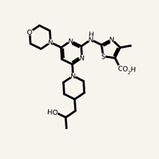 Cc1nc(Nc2nc(N3CCOCC3)cc(N3CCC(CC(C)O)CC3)n2)sc1C(=O)O